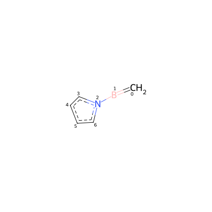 C=Bn1cccc1